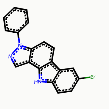 Brc1ccc2[nH]c3c(ccc4c3cnn4-c3ccccc3)c2c1